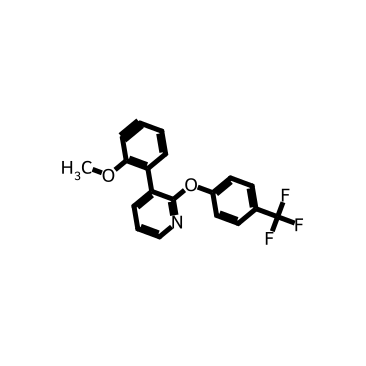 COc1c#cccc1-c1cccnc1Oc1ccc(C(F)(F)F)cc1